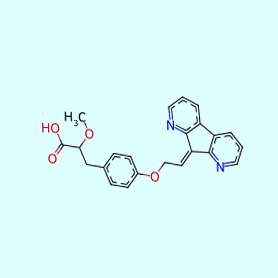 COC(Cc1ccc(OCC=C2c3ncccc3-c3cccnc32)cc1)C(=O)O